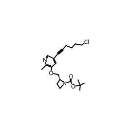 Cc1ncc(C#CCCCCCl)cc1OC[C@@H]1CCN1C(=O)OC(C)(C)C